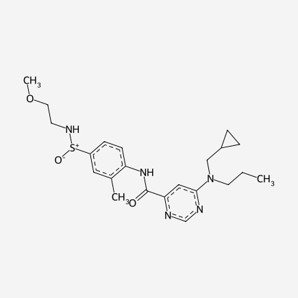 CCCN(CC1CC1)c1cc(C(=O)Nc2ccc([S+]([O-])NCCOC)cc2C)ncn1